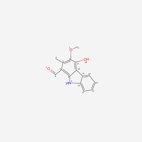 COc1c(C)c(C=O)c2[nH]c3ccccc3c2c1O